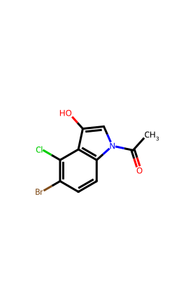 CC(=O)n1cc(O)c2c(Cl)c(Br)ccc21